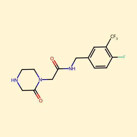 O=C(CN1CCNCC1=O)NCc1ccc(F)c(C(F)(F)F)c1